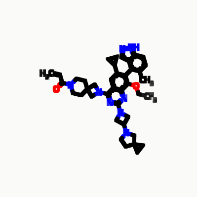 C=CC(=O)N1CCC2(CC1)CN(c1nc(N3CC(N4CCC5(CC5)C4)C3)nc3c(OCC(F)(F)F)c(-c4c(C)ccc5[nH]ncc45)c(C4CC4)cc13)C2